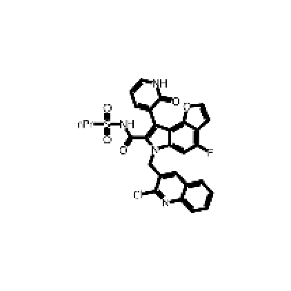 CCCS(=O)(=O)NC(=O)c1c(-c2ccc[nH]c2=O)c2c3occc3c(F)cc2n1Cc1cc2ccccc2nc1Cl